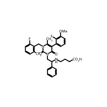 COc1cccc(-c2c(C)n(Cc3c(F)cccc3C(F)(F)F)c(=O)n(CC(NCCCC(=O)O)c3ccccc3)c2=O)c1F